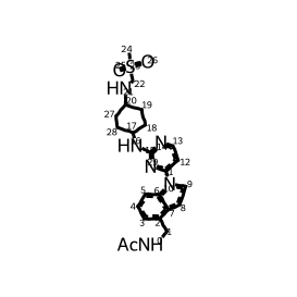 CC(=O)NCc1cccc2c1ccn2-c1ccnc(NC2CCC(NCS(C)(=O)=O)CC2)n1